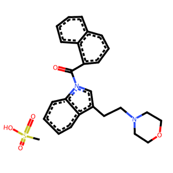 CS(=O)(=O)O.O=C(c1cccc2ccccc12)n1cc(CCN2CCOCC2)c2ccccc21